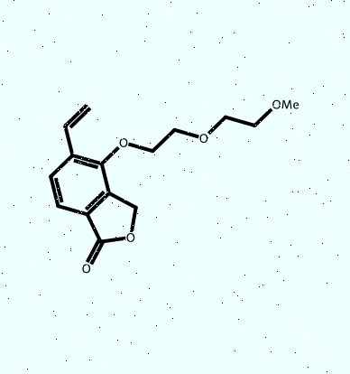 C=Cc1ccc2c(c1OCCOCCOC)COC2=O